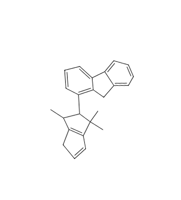 CC1C2=C(C=CC2)C(C)(C)C1c1cccc2c1Cc1ccccc1-2